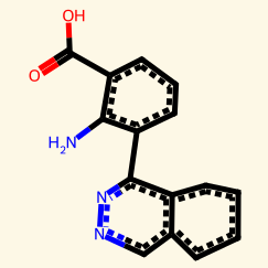 Nc1c(C(=O)O)cccc1-c1nncc2ccccc12